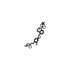 CCOC(=O)CCc1ccc(OCc2cccc3c2CCCN3C(=O)OC(C)(C)C)cc1F